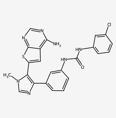 Cn1cnc(-c2cccc(NC(=O)Nc3cccc(Cl)c3)c2)c1-c1cc2c(N)ncnc2s1